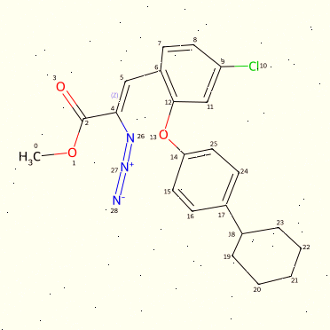 COC(=O)/C(=C/c1ccc(Cl)cc1Oc1ccc(C2CCCCC2)cc1)N=[N+]=[N-]